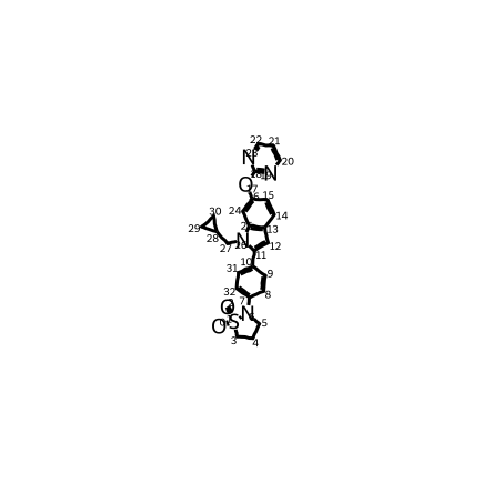 O=S1(=O)CCCN1c1ccc(-c2cc3ccc(Oc4ncccn4)cc3n2CC2CC2)cc1